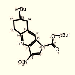 CC(C)(C)OC(=O)n1cc([N+](=O)[O-])c2nc3c(cc21)CC(C(C)(C)C)CC3